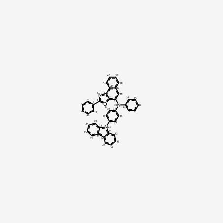 c1ccc(-c2nc3c(o2)c(N(c2ccccc2)c2ccc(-n4c5ccccc5c5ccccc54)cc2)cc2ccccc23)cc1